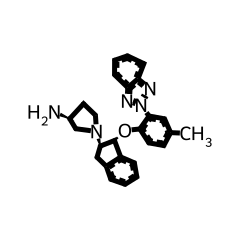 Cc1ccc(O[C@@H]2c3ccccc3C[C@H]2N2CC[C@H](N)C2)c(-n2nc3ccccc3n2)c1